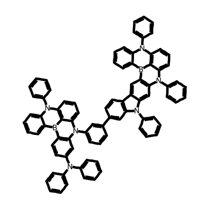 c1ccc(N(c2ccccc2)c2ccc3c(c2)N(c2cccc(-c4ccc5c6cc7c(cc6n(-c6ccccc6)c5c4)N(c4ccccc4)c4cccc5c4B7c4ccccc4N5c4ccccc4)c2)c2cccc4c2B3c2ccccc2N4c2ccccc2)cc1